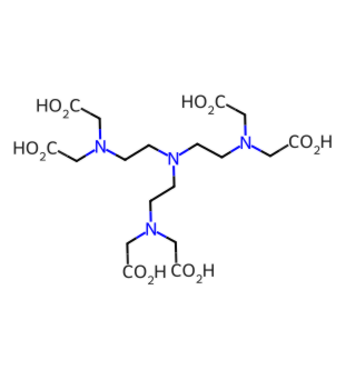 O=C(O)CN(CCN(CCN(CC(=O)O)CC(=O)O)CCN(CC(=O)O)CC(=O)O)CC(=O)O